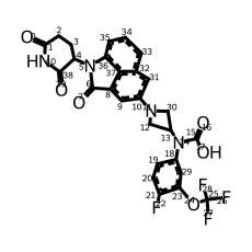 O=C1CCC(N2C(=O)c3cc(N4CC(N(C(=O)O)c5ccc(F)c(OC(F)(F)F)c5)C4)cc4cccc2c34)C(=O)N1